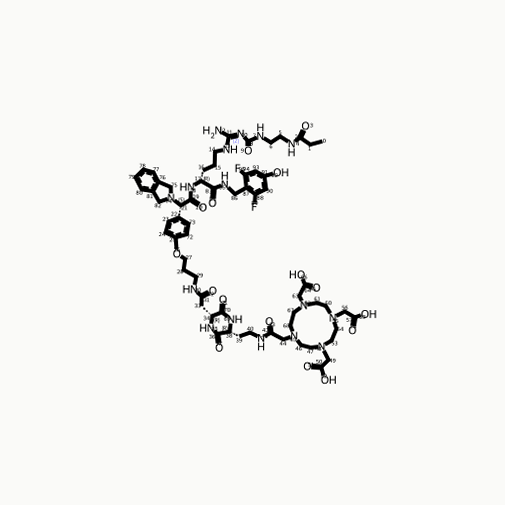 CCC(=O)NCCNC(=O)/N=C(/N)NCCC[C@@H](NC(=O)[C@H](c1ccc(OCCCNC(=O)C[C@H]2NC(=O)[C@@H](CCNC(=O)CN3CCN(CC(=O)O)CCN(CC(=O)O)CCN(CC(=O)O)CC3)NC2=O)cc1)N1Cc2ccccc2C1)C(=O)NCc1c(F)cc(O)cc1F